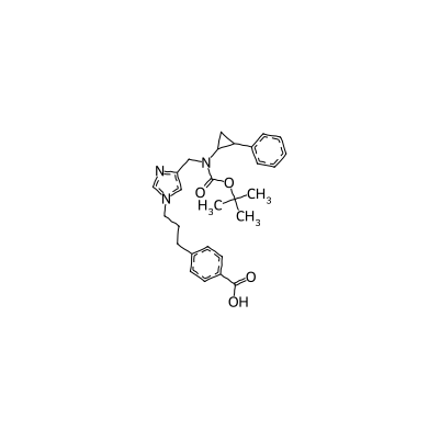 CC(C)(C)OC(=O)N(Cc1cn(CCCc2ccc(C(=O)O)cc2)cn1)C1CC1c1ccccc1